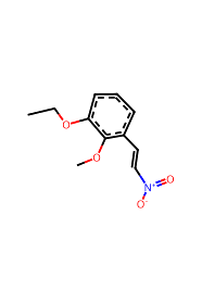 CCOc1cccc(C=C[N+](=O)[O-])c1OC